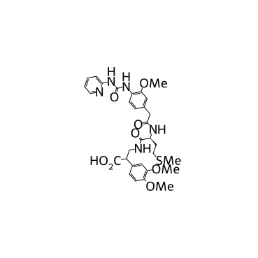 COc1cc(CC(=O)N[C@@H](CCSC)C(=O)NCC(C(=O)O)c2ccc(OC)c(OC)c2)ccc1NC(=O)Nc1ccccn1